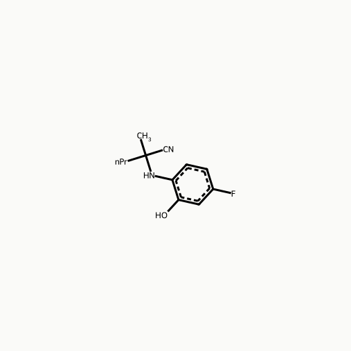 CCCC(C)(C#N)Nc1ccc(F)cc1O